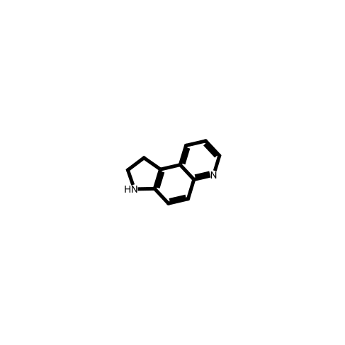 c1cnc2ccc3c(c2c1)CCN3